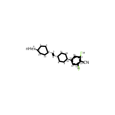 CCCCCC[C@H]1CC[C@H](C=C[C@H]2CC[C@H](c3cc(F)c(C#N)c(F)c3)CC2)CC1